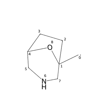 [CH2]C12CCC(CNC1)O2